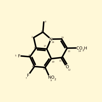 CC1Cc2c(F)c(F)c([N+](=O)[O-])c3c(=O)c(C(=O)O)cn1c23